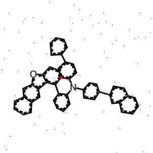 c1ccc(-c2ccc(N(c3ccc(-c4ccc5ccccc5c4)cc3)c3ccccc3-c3cccc4oc5cc6ccccc6cc5c34)cc2)cc1